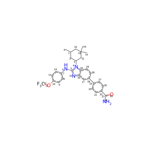 CC1CC(n2c(Nc3ccc(OC(F)(F)F)cc3)nc3cc(-c4ccc(C(N)=O)cc4)ccc32)CC(C)(C)C1